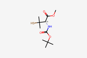 COC(=O)[C@H](NC(=O)OC(C)(C)C)C(C)(C)S